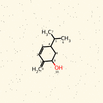 C=C1C=CC(C(C)C)CC1O